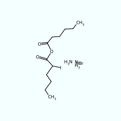 Br.CCCCCC(=O)OC(=O)C(I)CCCC.N.N